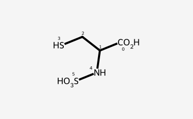 O=C(O)C(CS)NS(=O)(=O)O